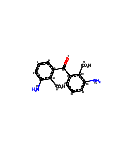 Nc1cccc(C(=O)c2cccc(N)c2C(=O)O)c1C(=O)O